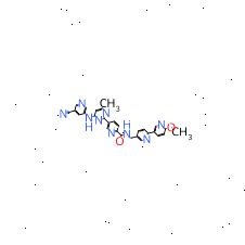 COc1ccc(-c2ccc(CNC(=O)c3ccc(-c4nc(C)cc(Nc5cncc(C#N)c5)n4)cn3)cn2)cn1